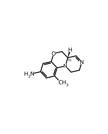 Cc1cc(N)cc2c1N1CCN=C[C@H]1CO2